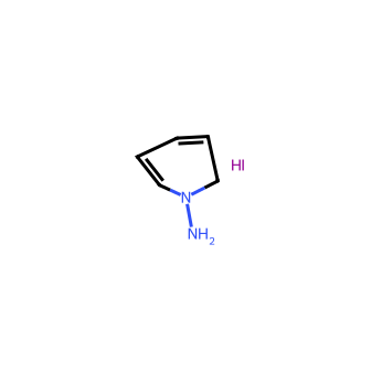 I.NN1C=CC=CC1